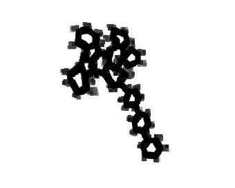 c1ccc(-c2ccc(-c3ccc(-c4cc5c6c(c4)C4(CCCC4)c4ccccc4B6c4c6ccccc6n6c7ccccc7n-5c46)cc3)cc2)cc1